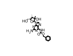 C[C@H]1[C@@H](CO)O[C@@H](n2cnc3c(NC(=O)OCc4ccccc4)nc(N)nc32)C1(C)O